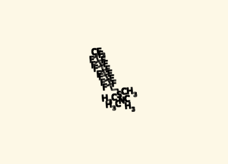 CN(C)S(C)(C)CCC(F)(F)C(F)(F)C(F)(F)C(F)(F)C(F)(F)C(F)(F)C(F)(F)C(F)(F)F